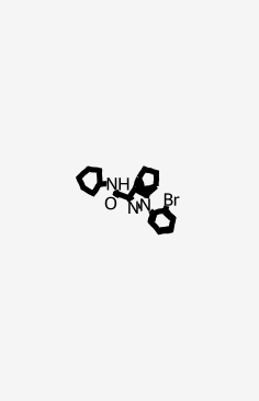 O=C(NC1CCCCC1)c1nn(-c2ccccc2Br)c2c1C1CCC2C1